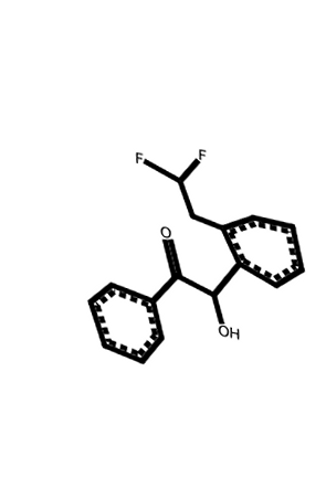 O=C(c1ccccc1)C(O)c1ccccc1CC(F)F